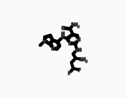 Cn1ccc2c(Nc3nc(NCC(N)CC(F)F)ncc3C(N)=O)ccnc21